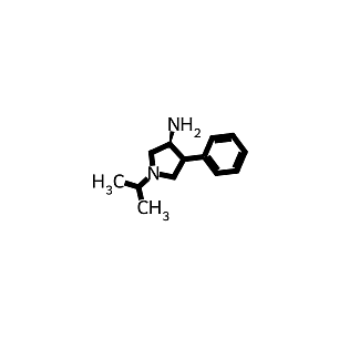 CC(C)N1CC(c2ccccc2)[C@H](N)C1